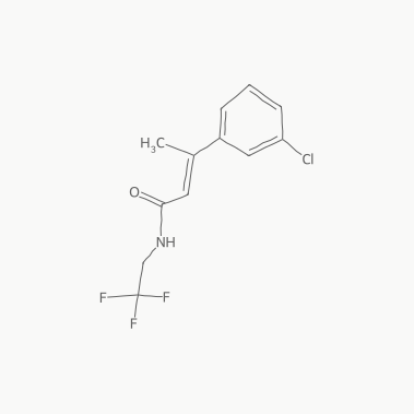 CC(=CC(=O)NCC(F)(F)F)c1cccc(Cl)c1